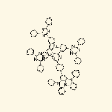 c1ccc(-c2cc(-c3cc(-c4nc(-c5ccccc5)nc(-c5ccccc5)n4)ccc3-n3c4ccc(-c5nc(-c6ccccc6)nc(-c6ccccc6)n5)cc4c4cc(-c5nc(-c6ccccc6)nc(-c6ccccc6)n5)ccc43)nc(-c3ccc(-c4cc5c6c(c4)N(c4ccccc4)c4ccccc4B6c4ccccc4N5c4ccccc4)cc3)n2)cc1